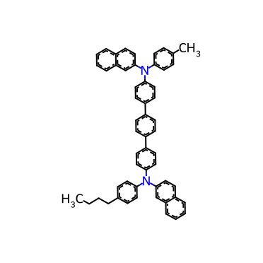 CCCCc1ccc(N(c2ccc(-c3ccc(-c4ccc(N(c5ccc(C)cc5)c5ccc6ccccc6c5)cc4)cc3)cc2)c2ccc3ccccc3c2)cc1